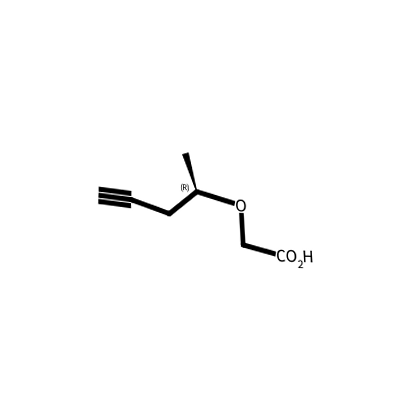 C#CC[C@@H](C)OCC(=O)O